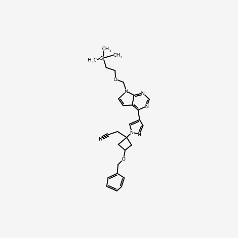 C[Si](C)(C)CCOCn1ccc2c(-c3cnn(C4(CC#N)CC(OCc5ccccc5)C4)c3)ncnc21